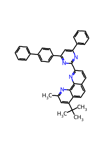 Cc1cc(C(C)(C)C)c2ccc3ccc(-c4nc(-c5ccccc5)cc(-c5ccc(-c6ccccc6)cc5)n4)nc3c2n1